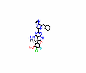 C[C@]1(c2cc(O)c(Cl)c(F)c2)C(=O)Nc2nc(-c3cn4ccnc4c(CC4CCCCC4)n3)nc(N)c21